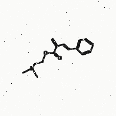 C=C(C=Cc1ccccc1)C(=O)OCCN(C)C